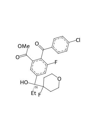 CC[C@](O)(c1cc(F)c(C(=O)c2ccc(Cl)cc2)c(C(=O)OC)c1)C1(F)CCOCC1